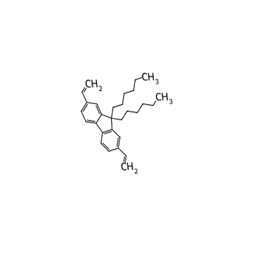 C=Cc1ccc2c(c1)C(CCCCCC)(CCCCCC)c1cc(C=C)ccc1-2